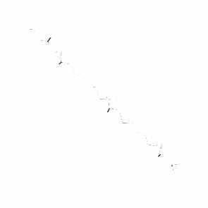 CCOC(=O)CNC(=O)OCCOCCNC(=O)OCCOCCNC(=O)OC(C)(C)C